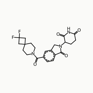 O=C1CCC(N2Cc3cc(C(=O)N4CCC5(CC4)CC(F)(F)C5)ccc3C2=O)C(=O)N1